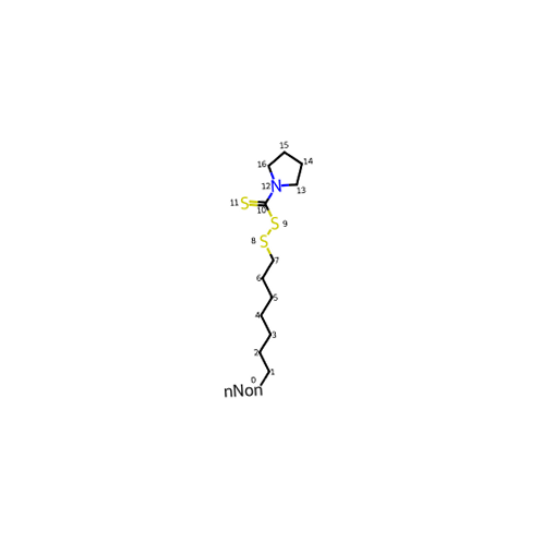 CCCCCCCCCCCCCCCCSSC(=S)N1CCCC1